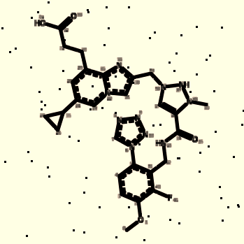 COc1ccc(-n2cnnn2)c(CNC(=O)C2=CN(Cc3cn4cc(C5CC5)cc(CCC(=O)O)c4n3)NN2C)c1F